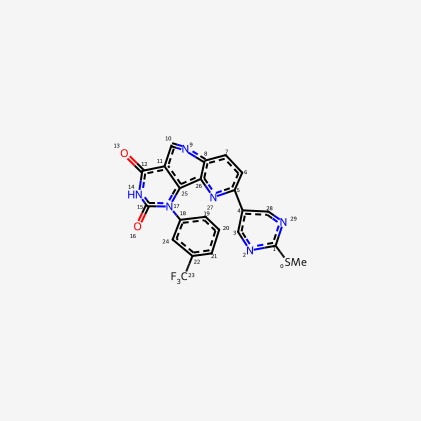 CSc1ncc(-c2ccc3ncc4c(=O)[nH]c(=O)n(-c5cccc(C(F)(F)F)c5)c4c3n2)cn1